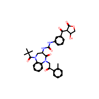 Cc1ccccc1C(=O)CN1C(=O)C(NC(=O)Nc2cccc(C(=O)C3C(=O)OCC3O)c2)CN(C(=O)C(C)(C)C)c2ccccc21